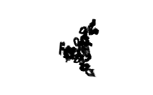 CCCN(CCC)C(=O)c1cc(C)cc(C(=O)N[C@@H](Cc2cc(F)cc(F)c2)[C@H](O)C2NCCCN(Cc3ccc(Cl)cc3)C2=O)c1